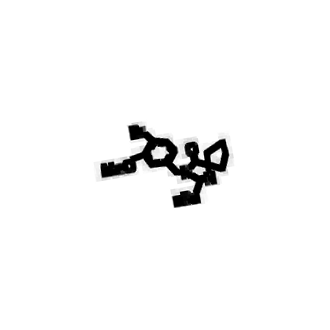 CCCCC1=NC2(CCCC2)C(=O)N1Cc1ccc(Br)c(COC)c1